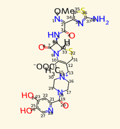 CON=C(C(=O)N[C@@H]1C(=O)N2C(C(=O)[O-])=C(C[N+]3(C)CCN(C(=O)c4cc(O)c(O)cn4)CC3)CS[C@@H]12)c1csc(N)n1